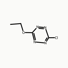 CCOc1nnc(Cl)nn1